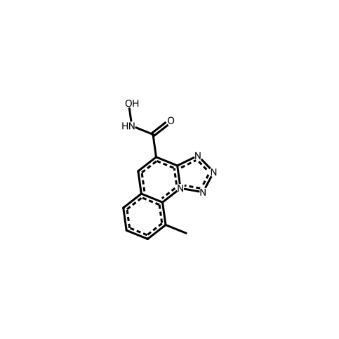 Cc1cccc2cc(C(=O)NO)c3nnnn3c12